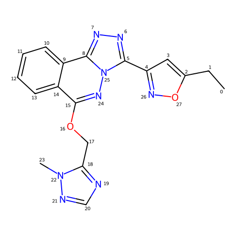 CCc1cc(-c2nnc3c4ccccc4c(OCc4ncnn4C)nn23)no1